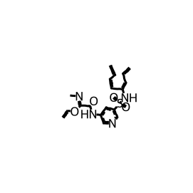 C=C/C=C\C(=C/C=C)NS(=O)(=O)c1cncc(NC(=O)/C(=N/C)OC=C)c1